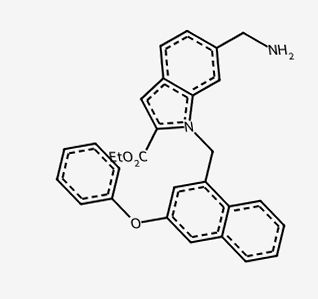 CCOC(=O)c1cc2ccc(CN)cc2n1Cc1cc(Oc2ccccc2)cc2ccccc12